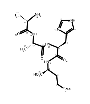 CSCC[C@H](NC(=O)[C@H](Cc1c[nH]cn1)NC(=O)[C@H](C)NC(=O)[C@H](C)N)C(=O)O